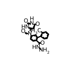 Cc1ccccc1-c1cc(N(C=O)c2cc(=O)[nH]c(=O)[nH]2)ccc1C(=O)NN